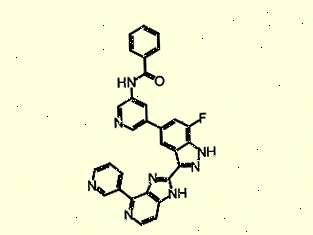 O=C(Nc1cncc(-c2cc(F)c3[nH]nc(-c4nc5c(-c6cccnc6)nccc5[nH]4)c3c2)c1)c1ccccc1